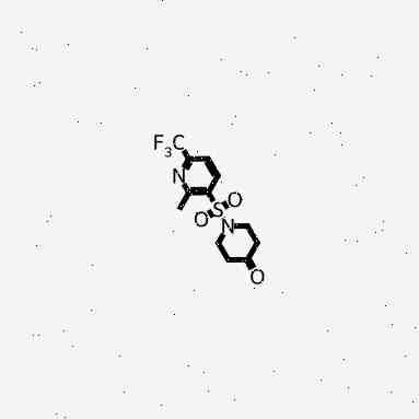 Cc1nc(C(F)(F)F)ccc1S(=O)(=O)N1CCC(=O)CC1